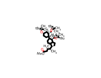 COC(=O)CC[C@@H](C)[C@H]1CCC2[C@H](CO[Si](C)(C)C(C)(C)C)C([C@@]3(C)CC[C@H](O[Si](C)(C)C(C)(C)C)C[C@@H]3CO[Si](C)(C)C(C)(C)C)CC[C@@]21C